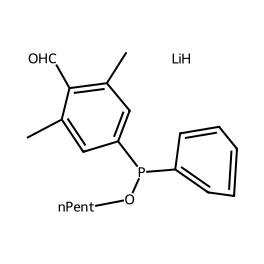 CCCCCOP(c1ccccc1)c1cc(C)c(C=O)c(C)c1.[LiH]